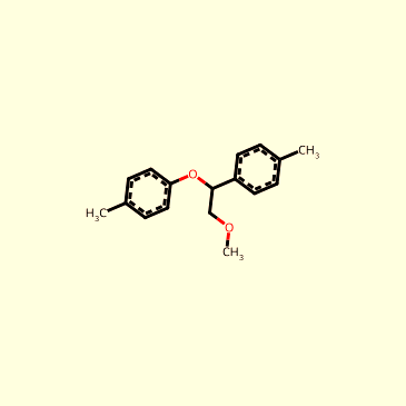 COCC(Oc1ccc(C)cc1)c1ccc(C)cc1